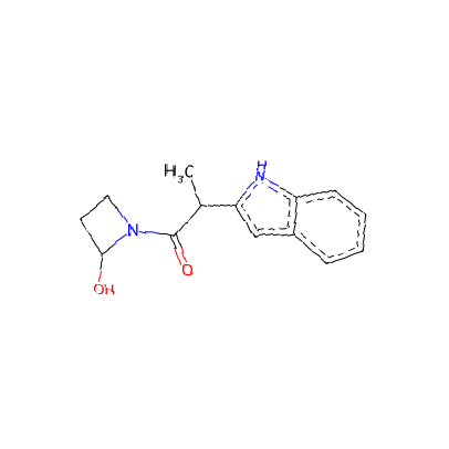 C[C](C(=O)N1CCC1O)c1cc2ccccc2[nH]1